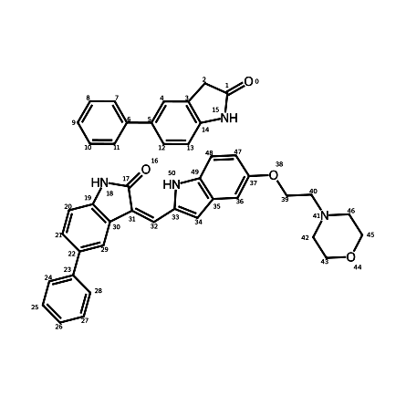 O=C1Cc2cc(-c3ccccc3)ccc2N1.O=C1Nc2ccc(-c3ccccc3)cc2C1=Cc1cc2cc(OCCN3CCOCC3)ccc2[nH]1